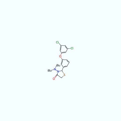 CCC(C)N(C(C)CC)N1C(=O)CSC1c1cccc(Oc2cc(Cl)cc(Cl)c2)c1